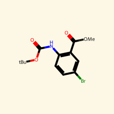 COC(=O)c1cc(Br)ccc1NC(=O)OC(C)(C)C